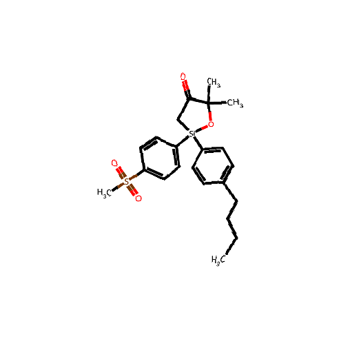 CCCCc1ccc([Si]2(c3ccc(S(C)(=O)=O)cc3)CC(=O)C(C)(C)O2)cc1